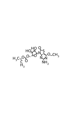 CCOc1nc(N)nc2c1sc(=O)n2[C@@H]1O[C@H](COC(=O)OC(C)C)[C@@H](O)[C@H]1O